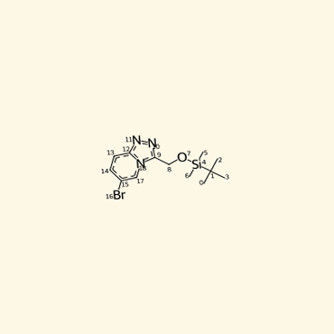 CC(C)(C)[Si](C)(C)OCc1nnc2ccc(Br)cn12